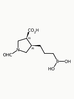 O=CN1C[C@H](CCCB(O)O)[C@H](C(=O)O)C1